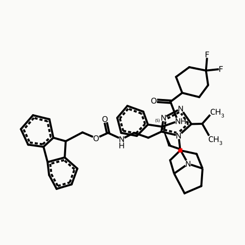 CC(C)c1nnc(CCNC(=O)OCC2c3ccccc3-c3ccccc32)n1C1CC2CCC(C1)N2CC[C@H](NC(=O)C1CCC(F)(F)CC1)c1ccccc1